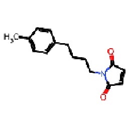 Cc1ccc(CCCCN2C(=O)C=CC2=O)cc1